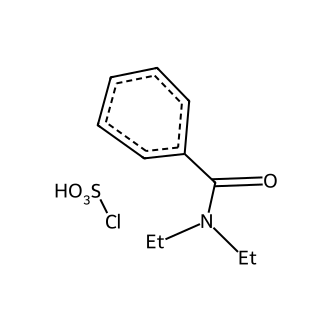 CCN(CC)C(=O)c1ccccc1.O=S(=O)(O)Cl